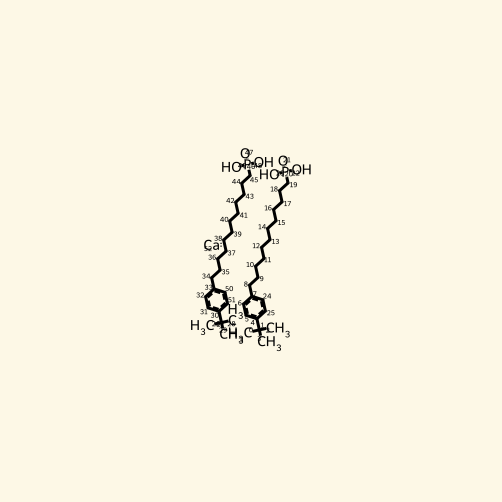 CC(C)(C)c1ccc(CCCCCCCCCCCCP(=O)(O)O)cc1.CC(C)(C)c1ccc(CCCCCCCCCCCCP(=O)(O)O)cc1.[Ca]